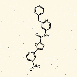 O=C(Nc1ccnc(Cc2ccccc2)c1)c1ccc(-c2cccc([N+](=O)[O-])c2)o1